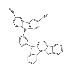 N#Cc1ccc2c(c1)c1cc(C#N)ccc1n2-c1cccc(-n2c3ccccc3c3c4sc5ccccc5c4ccc32)c1